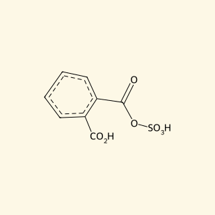 O=C(O)c1ccccc1C(=O)OS(=O)(=O)O